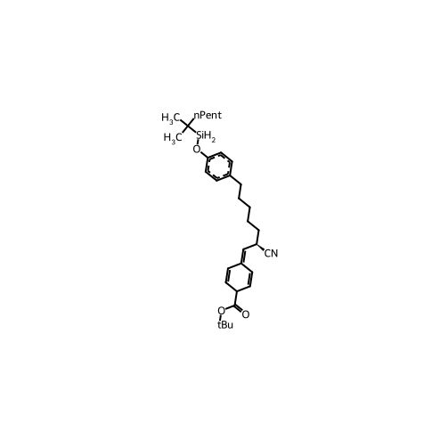 CCCCCC(C)(C)[SiH2]Oc1ccc(CCCCC[C@@H](C#N)C=C2C=CC(C(=O)OC(C)(C)C)C=C2)cc1